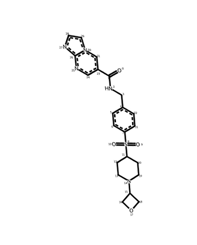 O=C(NCc1ccc(S(=O)(=O)C2CCN(C3COC3)CC2)cc1)c1cnc2nccn2c1